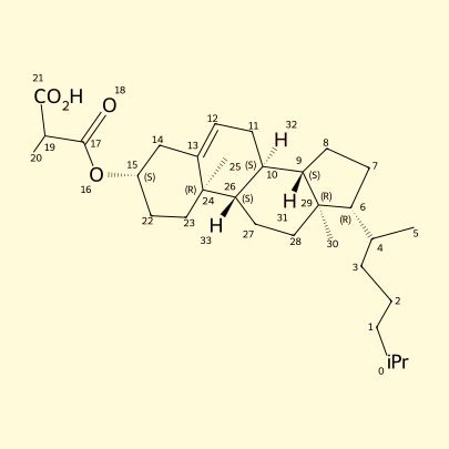 CC(C)CCCC(C)[C@H]1CC[C@H]2[C@@H]3CC=C4C[C@@H](OC(=O)C(C)C(=O)O)CC[C@]4(C)[C@H]3CC[C@]12C